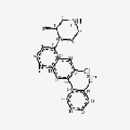 C[C@H]1CNCCN1c1ccnc2cc(-c3ccccc3F)c(Cl)cc12